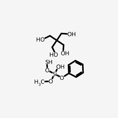 CO[Si](O)(OS)Oc1ccccc1.OCC(CO)(CO)CO